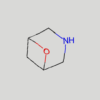 C1NCC2CC1O2